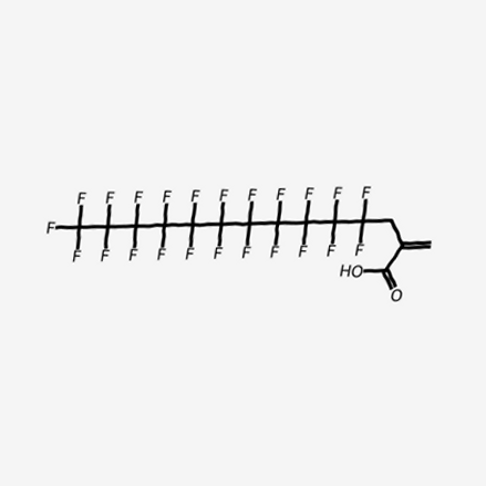 C=C(CC(F)(F)C(F)(F)C(F)(F)C(F)(F)C(F)(F)C(F)(F)C(F)(F)C(F)(F)C(F)(F)C(F)(F)C(F)(F)F)C(=O)O